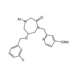 COc1ccnc(CN2CC(OCc3cccc(F)c3)CN(C(C)=O)CC2=O)c1